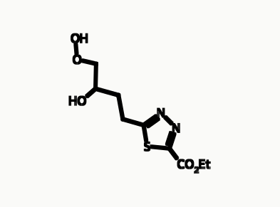 CCOC(=O)c1nnc(CCC(O)COO)s1